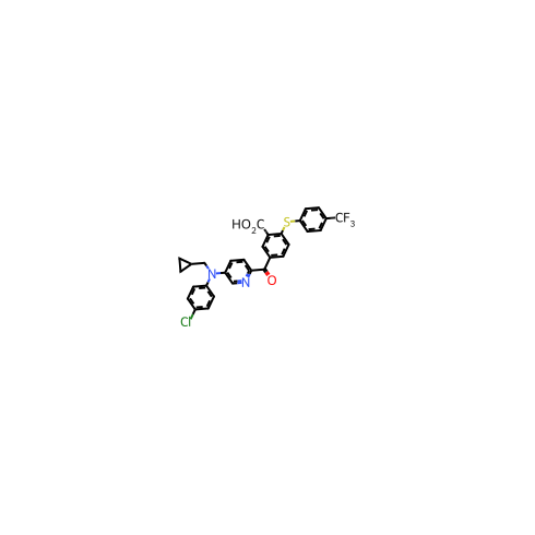 O=C(c1ccc(Sc2ccc(C(F)(F)F)cc2)c(C(=O)O)c1)c1ccc(N(CC2CC2)c2ccc(Cl)cc2)cn1